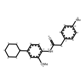 COc1cc(C2CCCCC2)ccc1NC(=O)Cc1ccc(C(C)(C)C)cc1